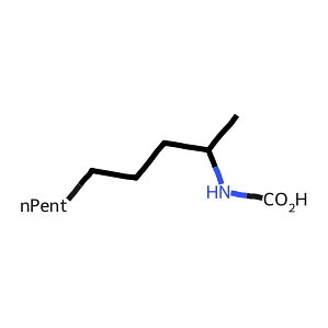 CCCCCCCCC(C)NC(=O)O